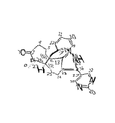 C[C@@H]1C(=O)CC[C@]2(c3ccccc3)c3n[nH]c(-c4cncnc4)c3CC[C@@H]12